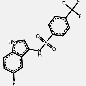 O=S(=O)(Nc1c[nH]c2ccc(F)cc12)c1ccc(C(F)(F)F)cc1